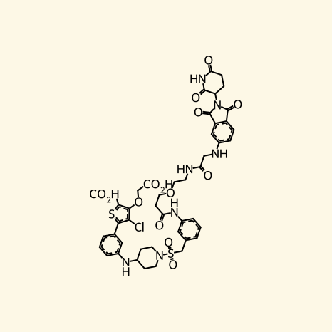 O=C(O)COc1c(C(=O)O)sc(-c2cccc(NC3CCN(S(=O)(=O)Cc4cccc(NC(=O)CCOCCNC(=O)CNc5ccc6c(c5)C(=O)N(C5CCC(=O)NC5=O)C6=O)c4)CC3)c2)c1Cl